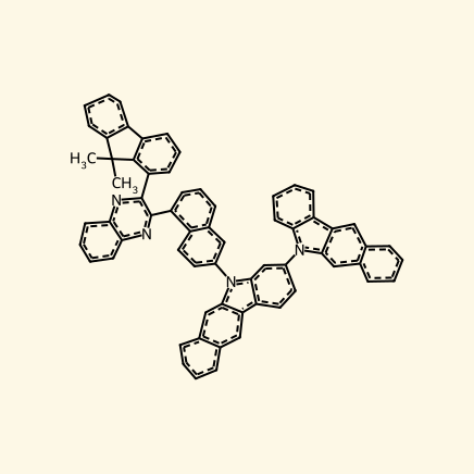 CC1(C)c2ccccc2-c2cccc(-c3nc4ccccc4nc3-c3cccc4cc(-n5c6cc(-n7c8ccccc8c8cc9ccccc9cc87)ccc6c6cc7ccccc7cc65)ccc34)c21